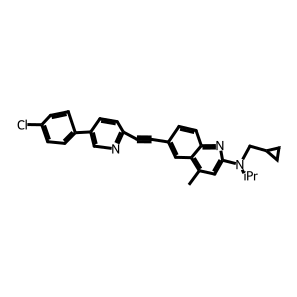 Cc1cc(N(CC2CC2)C(C)C)nc2ccc(C#Cc3ccc(-c4ccc(Cl)cc4)cn3)cc12